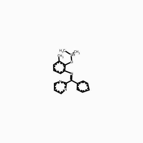 Cc1cccc(N=C(c2ccccc2)c2ncccn2)c1O[SiH](C)C